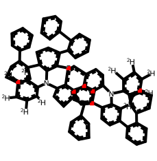 [2H]c1c([2H])c([2H])c(N(c2c(-c3ccccc3-c3ccccc3)ccc(-c3ccccc3-c3ccccc3)c2F)c2ccc3ccc4c(N(c5c([2H])c([2H])c([2H])c([2H])c5[2H])c5c(-c6ccccc6-c6ccccc6)ccc(-c6ccccc6-c6ccccc6)c5F)ccc5ccc2c3c54)c([2H])c1[2H]